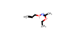 C=CCO/N=C(/C)OCC